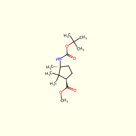 COC(=O)[C@@H]1CC[C@](C)(NC(=O)OC(C)(C)C)C1(C)C